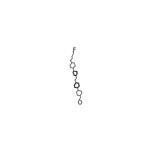 COCCC1CCC(c2ccc(CCc3ccc(C4CCC(CCCCCF)CC4)cc3)cc2)CC1